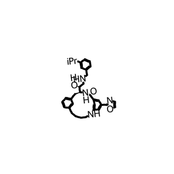 CC(C)c1cccc(CNC[C@@H](O)[C@@H]2Cc3cccc(c3)CCCCNc3cc(cc(-c4ncco4)c3)C(=O)N2)c1